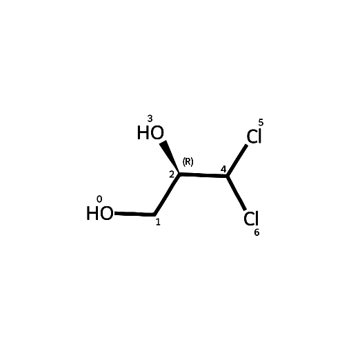 OC[C@@H](O)C(Cl)Cl